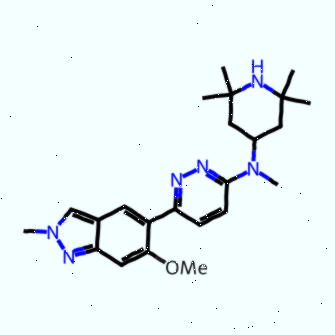 COc1cc2nn(C)cc2cc1-c1ccc(N(C)C2CC(C)(C)NC(C)(C)C2)nn1